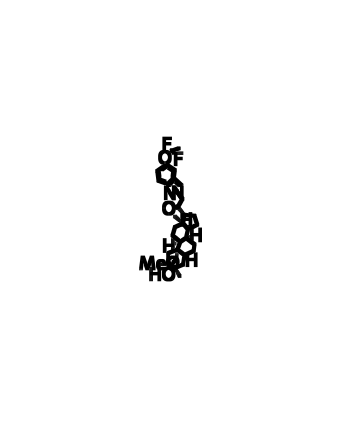 COC[C@]12CC[C@@](C)(O)C[C@H]1CC[C@H]1[C@@H]3CC[C@H](C(=O)Cn4cc5cc(OC(C)(F)F)ccc5n4)[C@@]3(C)CC[C@@H]12